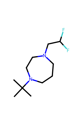 CC(C)(C)N1CCCN(CC(F)F)CC1